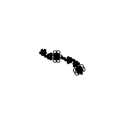 Cc1cc(Cc2cc(C)c(N3C(=O)C4(C(=O)N(CCCCc5c(C)cc(Cc6cc(C)c(N7C(=O)C8(C(=O)N(C)C8=O)C7=O)c(C)c6)cc5C)C4=O)C3=O)c(C)c2)cc(C)c1C